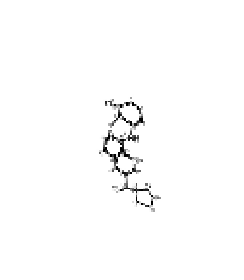 Cc1c(Cl)cccc1Nc1nccc2cc(C(C)N3CCCC3)cnc12